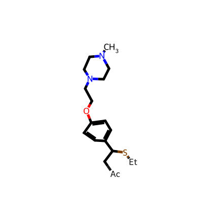 CCSC(CC(C)=O)c1ccc(OCCN2CCN(C)CC2)cc1